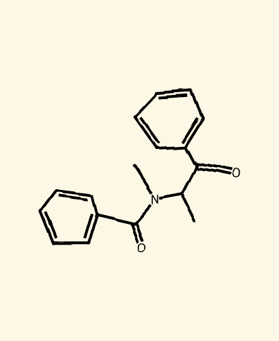 CC(C(=O)c1ccccc1)N(C)C(=O)c1ccccc1